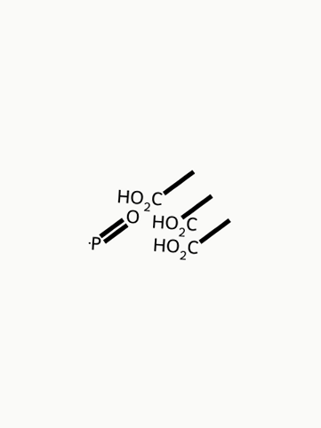 CC(=O)O.CC(=O)O.CC(=O)O.O=[P]